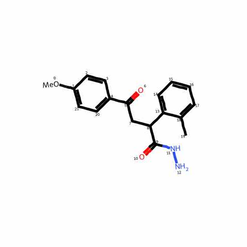 COc1ccc(C(=O)CC(C(=O)NN)c2ccccc2C)cc1